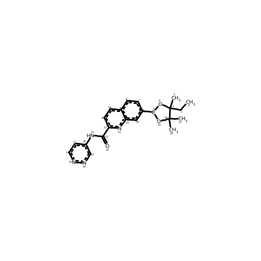 CCC1(C)OB(c2ccc3ccc(C(=O)Nc4ccnnc4)nc3c2)OC1(C)C